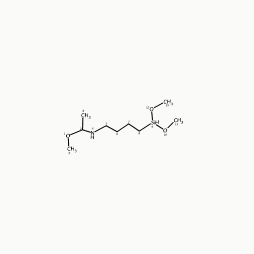 COC(C)NCCCC[SiH](OC)OC